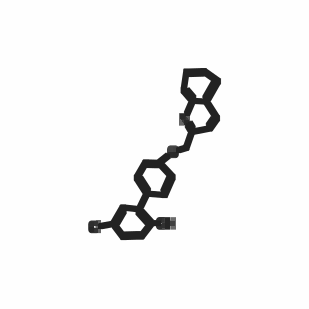 Oc1ccc(Cl)cc1-c1ccc(OCc2ccc3ccccc3n2)cc1